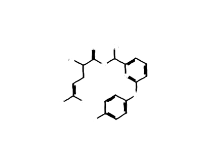 CC(C)C(CC=C(Cl)Cl)C(=O)OC(C#N)c1cccc(Oc2ccc(F)cc2)n1